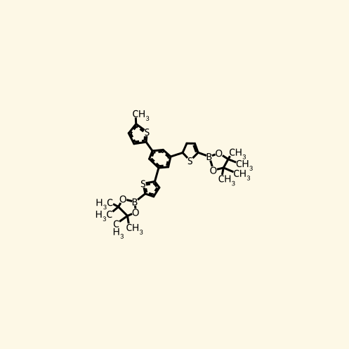 Cc1ccc(-c2cc(-c3ccc(B4OC(C)(C)C(C)(C)O4)s3)cc(C3CC=C(B4OC(C)(C)C(C)(C)O4)S3)c2)s1